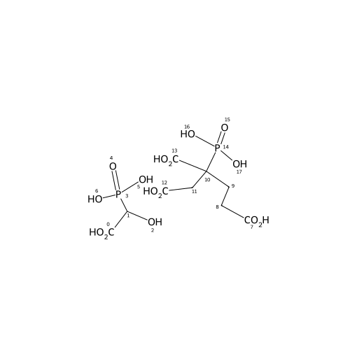 O=C(O)C(O)P(=O)(O)O.O=C(O)CCC(CC(=O)O)(C(=O)O)P(=O)(O)O